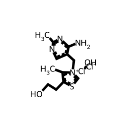 Cc1ncc(C[n+]2csc(CCO)c2C)c(N)n1.OCl.[Cl-]